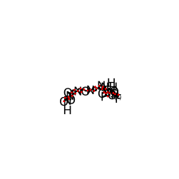 O=C1CCC(N2Cc3cc(N4CCC(COC5CN(c6ccc(-c7cnc8[nH]cc(C(=O)c9c(F)ccc(NS(=O)(=O)N%10CC[C@@H](F)C%10)c9F)c8c7)cc6)C5)CC4)ccc3C2=O)C(=O)N1